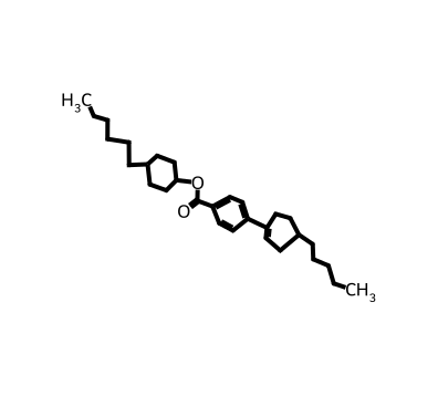 CCCCCCC1CCC(OC(=O)c2ccc(C3=CCC(CCCCC)CC3)cc2)CC1